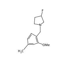 COc1cc(C)ccc1CN1CCC(F)C1